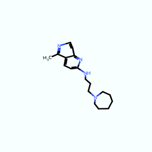 Cc1nccc2nc(NCCCN3CCCCCC3)ccc12